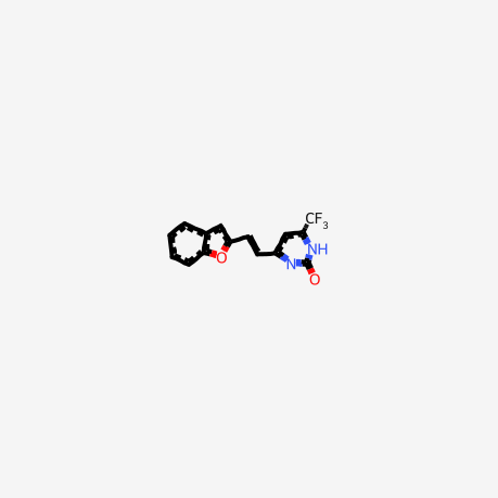 O=c1nc(/C=C/c2cc3ccccc3o2)cc(C(F)(F)F)[nH]1